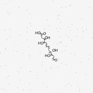 O=[S]C[C@H](O)[C@@H](O)CSSC[C@H](O)[C@@H](O)CS(=O)O